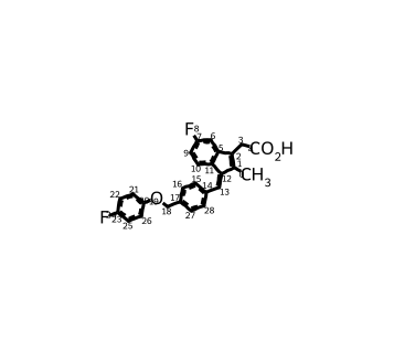 CC1=C(CC(=O)O)c2cc(F)ccc2/C1=C\c1ccc(COc2ccc(F)cc2)cc1